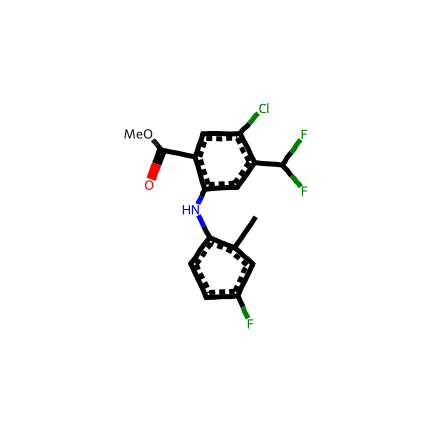 COC(=O)c1cc(Cl)c(C(F)F)cc1Nc1ccc(F)cc1C